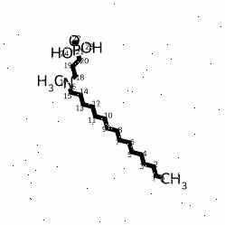 CCCCCCCCCCCCCCCCN(C)CCCP(=O)(O)O